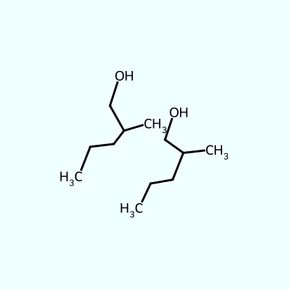 CCCC(C)CO.CCCC(C)CO